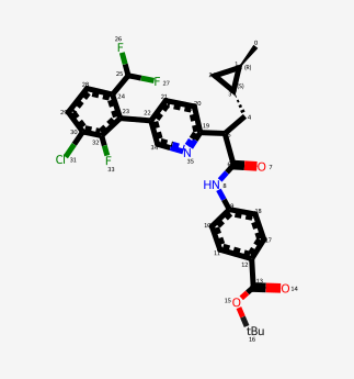 C[C@@H]1C[C@H]1CC(C(=O)Nc1ccc(C(=O)OC(C)(C)C)cc1)c1ccc(-c2c(C(F)F)ccc(Cl)c2F)cn1